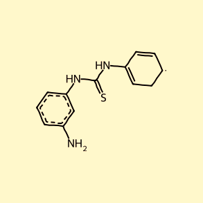 Nc1cccc(NC(=S)NC2=CC[CH]C=C2)c1